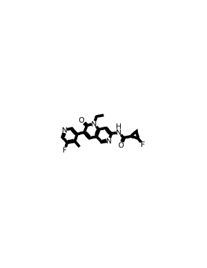 CCn1c(=O)c(-c2cncc(F)c2C)cc2cnc(NC(=O)C3CC3F)cc21